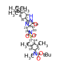 Cc1cc(N(C)C(=O)OC(C)(C)C)cc(C)c1CCS(=O)(=O)N1CCC2(CC1)N=C(C1CCC([Si](C)(C)C)CC1)NC2=O